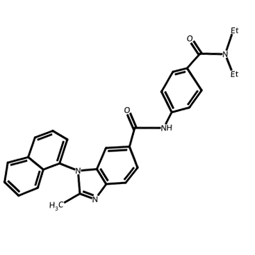 CCN(CC)C(=O)c1ccc(NC(=O)c2ccc3nc(C)n(-c4cccc5ccccc45)c3c2)cc1